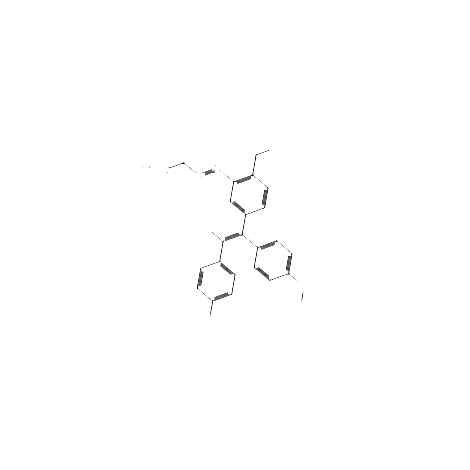 CC/C(=C(/c1ccc(OS(=O)(=O)O)cc1)c1ccc(CO)c(N=NCNC)c1)c1ccc(O)cc1